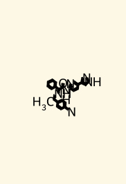 C[C@H](CNC(C(=O)Nc1ccc(-c2cn[nH]c2)cn1)c1ccccc1)c1ccc(C#N)cc1